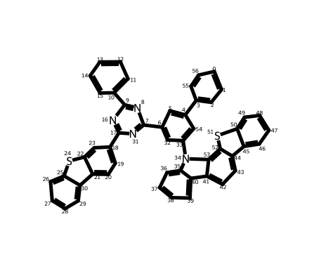 c1ccc(-c2cc(-c3nc(-c4ccccc4)nc(-c4ccc5c(c4)sc4ccccc45)n3)cc(-n3c4ccccc4c4ccc5c6ccccc6sc5c43)c2)cc1